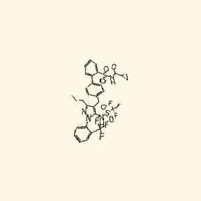 CCCc1nn(-c2ccccc2C(F)(F)F)c(NS(=O)(=O)C(F)(F)F)c1Cc1ccc(-c2ccccc2S(=O)(=O)NC(=O)C2CC2)cc1